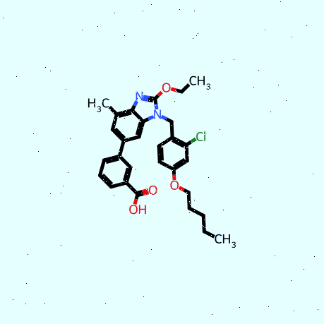 CCCCCOc1ccc(Cn2c(OCC)nc3c(C)cc(-c4cccc(C(=O)O)c4)cc32)c(Cl)c1